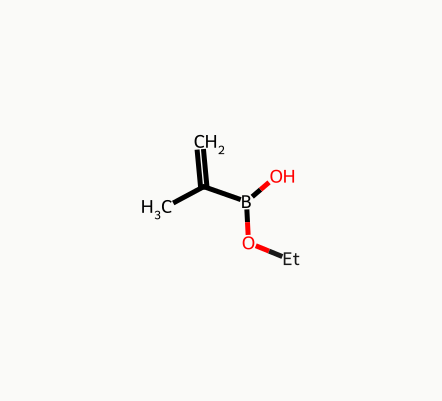 C=C(C)B(O)OCC